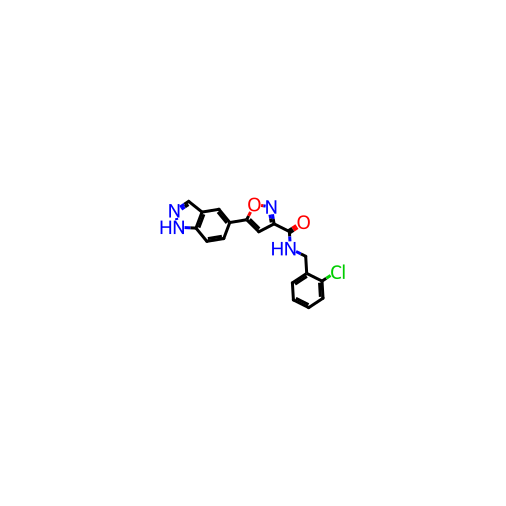 O=C(NCc1ccccc1Cl)c1cc(-c2ccc3[nH]ncc3c2)on1